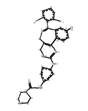 O=C(Nc1ccc(NC2=NC3=C(CN=C(c4c(F)cccc4F)c4cc(Cl)ccc43)CN2)cc1)C1CCNCC1